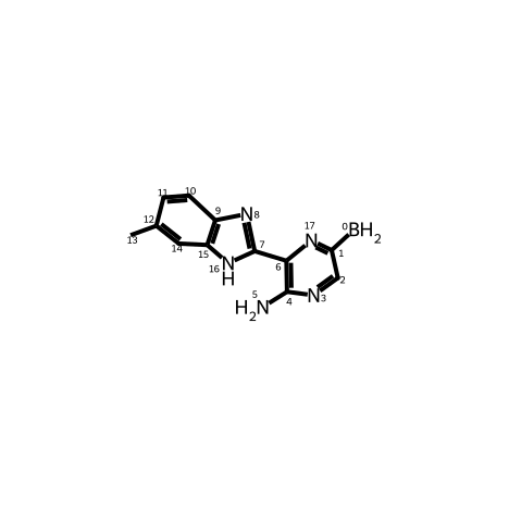 Bc1cnc(N)c(-c2nc3ccc(C)cc3[nH]2)n1